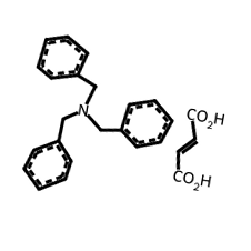 O=C(O)C=CC(=O)O.c1ccc(CN(Cc2ccccc2)Cc2ccccc2)cc1